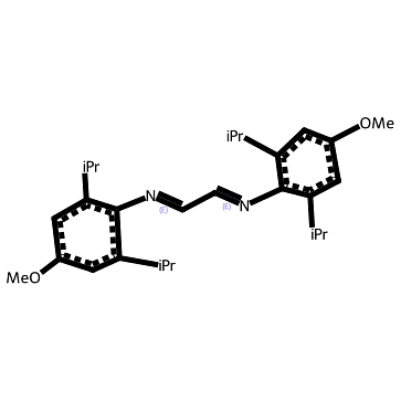 COc1cc(C(C)C)c(/N=C/C=N/c2c(C(C)C)cc(OC)cc2C(C)C)c(C(C)C)c1